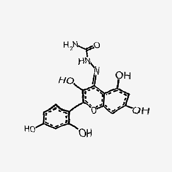 NC(=O)NN=c1c(O)c(-c2ccc(O)cc2O)oc2cc(O)cc(O)c12